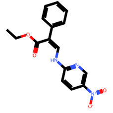 CCOC(=O)C(=CNc1ccc([N+](=O)[O-])cn1)c1ccccc1